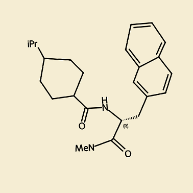 CNC(=O)[C@@H](Cc1ccc2ccccc2c1)NC(=O)C1CCC(C(C)C)CC1